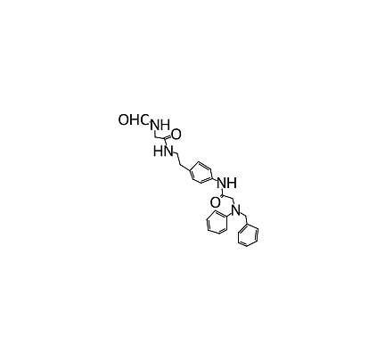 O=CNCC(=O)NCCc1ccc(NC(=O)CN(Cc2ccccc2)c2ccccc2)cc1